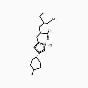 CCC(CN)CC(Cc1cn([C@H]2CC[C@H](C)CC2)cn1)C(=O)O.Cl